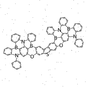 c1ccc(N2c3ccccc3B3c4ccccc4N4c5ccccc5B5c6cc7c(cc6Oc6cc2c3c4c65)sc2cc3c(cc27)B2c4ccccc4N4c5ccccc5B5c6ccccc6N(c6ccccc6)c6cc(c2c4c65)O3)cc1